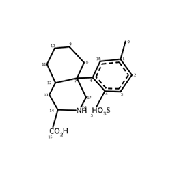 Cc1ccc(S(=O)(=O)O)c(C23CCCCC2CC(C(=O)O)NC3)c1